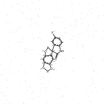 O=C1Nc2ccc(F)cc2C12COc1cc3c(cc12)OCO3